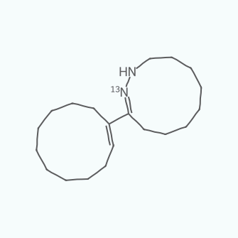 C1=C(C2=[13N]NCCCCCCCC2)CCCCCCCCC1